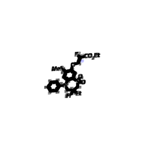 CCOC(=O)/C(F)=C/Oc1cc2c(cc1SC)N(c1ccccc1)CC(CC)(C(C)C)CS2(=O)=O